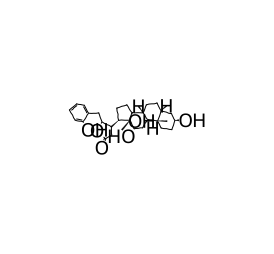 C[C@]12CC[C@H](O)C[C@H]1CC[C@@H]1[C@@H]2C[C@@H](O)[C@]2(C)[C@@H](C3CC(=O)OC3Cc3ccccc3O)CC[C@]12O